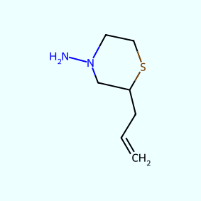 C=CCC1CN(N)CCS1